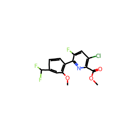 COC(=O)c1nc(-c2ccc(C(F)F)cc2OC)c(F)cc1Cl